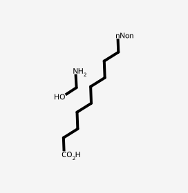 CCCCCCCCCCCCCCCCCC(=O)O.NCO